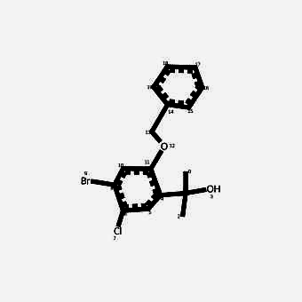 CC(C)(O)c1cc(Cl)c(Br)cc1OCc1ccccc1